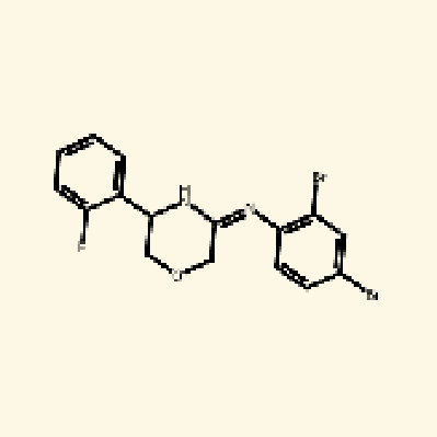 Fc1ccccc1C1COCC(=Nc2ccc(Br)cc2Br)N1